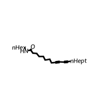 CCCCCCCC#CC#CCCCCCCCC(=O)NCCCCCC